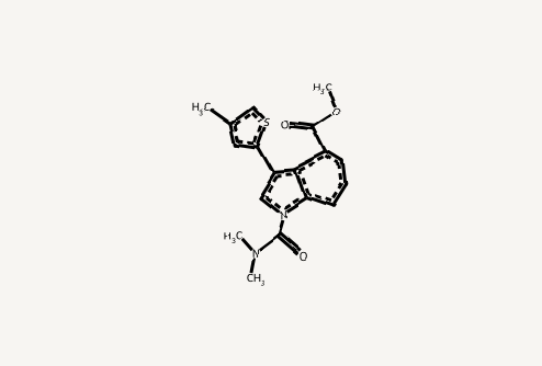 COC(=O)c1cccc2c1c(-c1cc(C)cs1)cn2C(=O)N(C)C